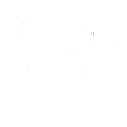 O=C(NC(c1ccccn1)C1CC1)c1ccc2[nH]nc(-c3ccc(N4C5CCC4CC(O)C5)cc3)c2c1